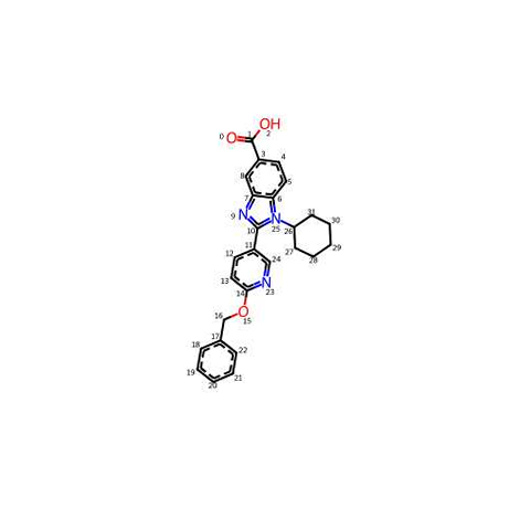 O=C(O)c1ccc2c(c1)nc(-c1ccc(OCc3ccccc3)nc1)n2C1CCCCC1